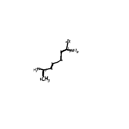 CCC(N)CCCCC(C)N